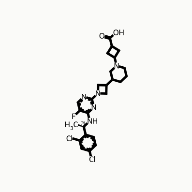 C[C@@H](Nc1nc(N2CC(C3CCCN(C4CC(C(=O)O)C4)C3)C2)ncc1F)c1ccc(Cl)cc1Cl